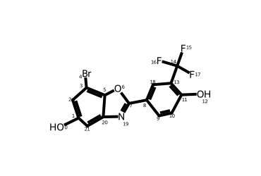 Oc1cc(Br)c2oc(-c3ccc(O)c(C(F)(F)F)c3)nc2c1